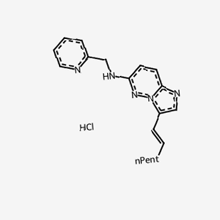 CCCCCC=Cc1cnc2ccc(NCc3ccccn3)nn12.Cl